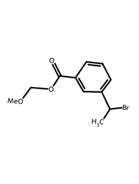 COCOC(=O)c1cccc(C(C)Br)c1